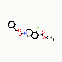 COC(=O)c1ccc2c(c1F)CCN(C(=O)OCc1ccccc1)C2